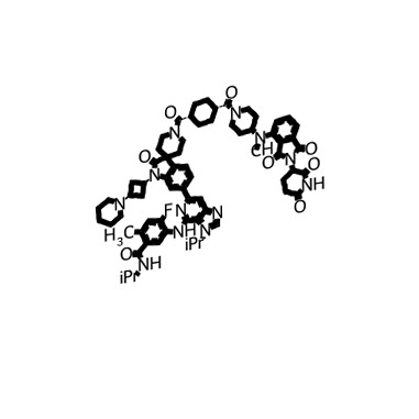 Cc1cc(F)c(Nc2nc(-c3ccc4c(c3)N([C@H]3C[C@@H](N5CCCCC5)C3)C(=O)C43CCN(C(=O)[C@H]4CC[C@@H](C(=O)N5CCC(N(C)c6cccc7c6C(=O)N(C6CCC(=O)NC6=O)C7=O)CC5)CC4)CC3)cc3ncn(C(C)C)c23)cc1C(=O)NC(C)C